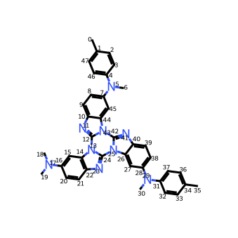 Cc1ccc(N(C)c2ccc3nc4n5c6cc(N(C)C)ccc6nc5n5c6cc(N(C)c7ccc(C)cc7)ccc6nc5n4c3c2)cc1